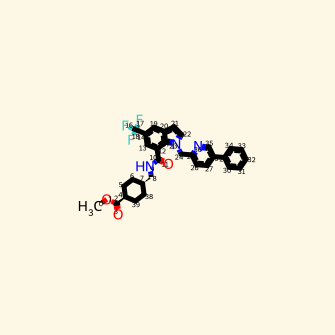 COC(=O)[C@H]1CC[C@H](CNC(=O)c2cc(C(F)(F)F)cc3ccn(Cc4ccc(-c5ccccc5)cn4)c23)CC1